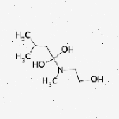 CC(C)CC(O)(O)N(C)CCO